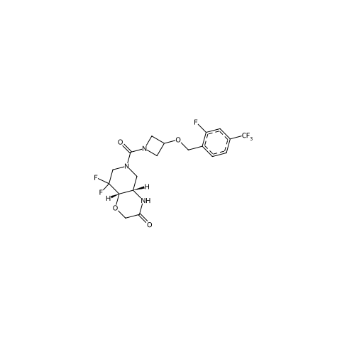 O=C1CO[C@H]2[C@H](CN(C(=O)N3CC(OCc4ccc(C(F)(F)F)cc4F)C3)CC2(F)F)N1